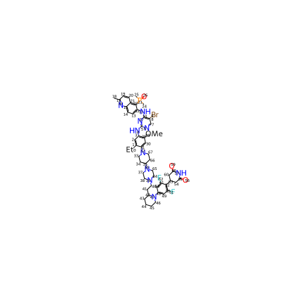 CCc1cc(Nc2ncc(Br)c(Nc3ccc4nc(C)ccc4c3P(C)(C)=O)n2)c(OC)cc1N1CCC(N2CCN(CCC3CCCCN3c3cc(F)c(C4CC(=O)NC(=O)C4)c(F)c3)CC2)CC1